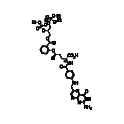 CCOP(=O)(OCC)OCC(COC(=O)c1ccccc1OC(=O)CC[C@@H](NC(=O)c1ccc(NCc2cnc3nc(N)[nH]c(=O)c3n2)cc1)C(=O)O)OP(=O)(OCC)OCC